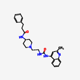 Cc1cc(NC(=O)NCCN2CCC(NC(=O)CCc3ccccc3)CC2)c2ccccc2n1